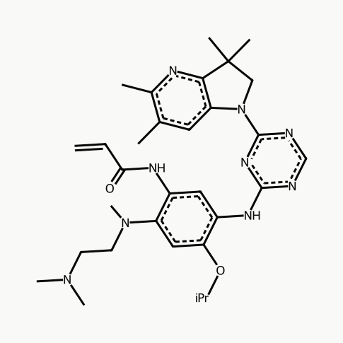 C=CC(=O)Nc1cc(Nc2ncnc(N3CC(C)(C)c4nc(C)c(C)cc43)n2)c(OC(C)C)cc1N(C)CCN(C)C